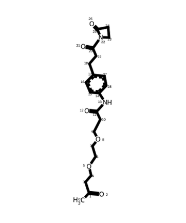 CC(=O)CCOCCOCCC(=O)Nc1ccc(CCC(=O)N2CCC2=O)cc1